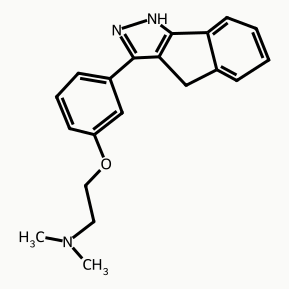 CN(C)CCOc1cccc(-c2n[nH]c3c2Cc2ccccc2-3)c1